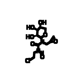 O=NN(CCCl)C(=O)N(CC1CO1)C1OC[C@H](O)[C@H](O)[C@H]1O